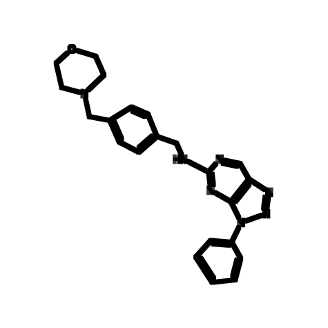 c1ccc(-n2nnc3cnc(NCc4ccc(CN5CCOCC5)cc4)nc32)cc1